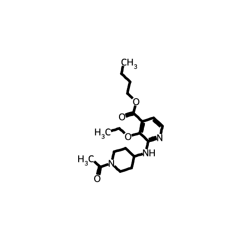 CCCCOC(=O)c1ccnc(NC2CCN(C(C)=O)CC2)c1OCC